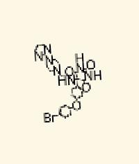 O=C1NC(=O)C(NCCN2CCN(c3ncccn3)CC2)(c2ccc(Oc3ccc(Br)cc3)cc2)C(=O)N1